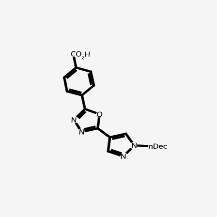 CCCCCCCCCCn1cc(-c2nnc(-c3ccc(C(=O)O)cc3)o2)cn1